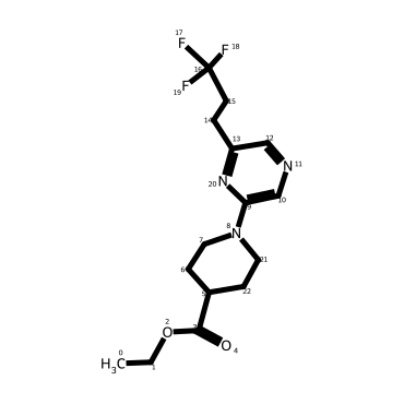 CCOC(=O)C1CCN(c2cncc(CCC(F)(F)F)n2)CC1